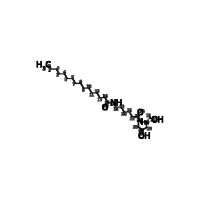 CCCCCCCCCCCCCCCC(=O)NCCCCCC(=O)N1C[C@H](O)C[C@H]1CO